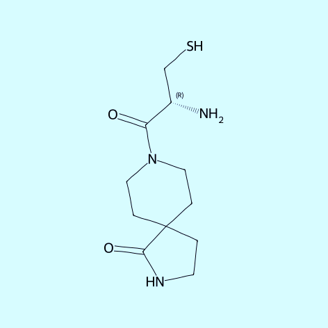 N[C@@H](CS)C(=O)N1CCC2(CCNC2=O)CC1